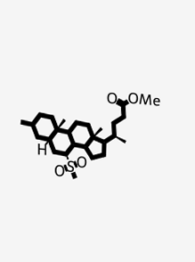 COC(=O)CC[C@@H](C)C1CCC2C3C(CC[C@@]21C)[C@@]1(C)CCC(C)C[C@@H]1C[C@H]3S(C)(=O)=O